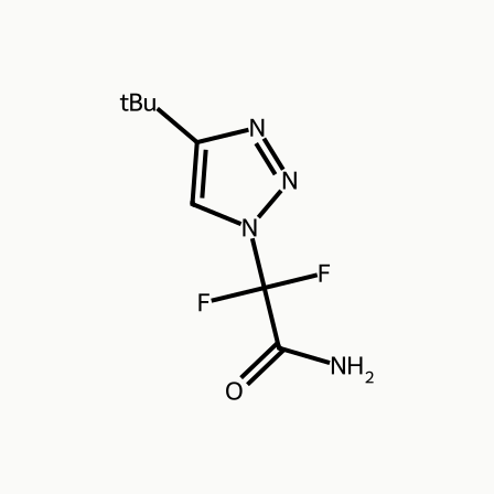 CC(C)(C)c1cn(C(F)(F)C(N)=O)nn1